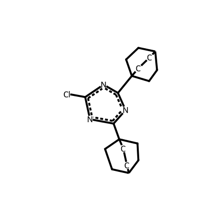 Clc1nc(C23CCC(CC2)CC3)nc(C23CCC(CC2)CC3)n1